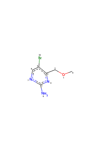 COCc1nc(N)ncc1Br